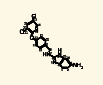 Nc1ccc2nc(NCc3ccc(Oc4ncc(Cl)cc4Cl)cc3)[nH]c2c1